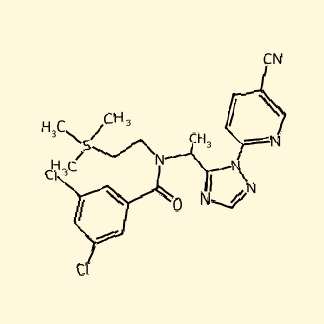 CC(c1ncnn1-c1ccc(C#N)cn1)N(CCS(C)(C)C)C(=O)c1cc(Cl)cc(Cl)c1